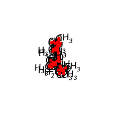 COc1ccc(C(OC[C@H](COCCOCCNC(=O)[C@H](CCCCNC(=O)CO[C@@H]2O[C@H](COC(C)=O)[C@H](OC(C)=O)[C@H](OC(C)=O)[C@H]2CC(N)=O)NC(=O)CO[C@@H]2O[C@H](COC(C)=O)[C@H](OC(C)=O)[C@H](OC(C)=O)[C@H]2CC(N)=O)OP(OCCC#N)N(C(C)C)C(C)C)(c2ccccc2)c2ccc(OC)cc2)cc1